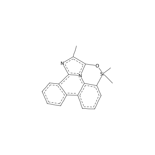 Cc1nc2c3ccccc3c3cccc4c3n2c1O[Si]4(C)C